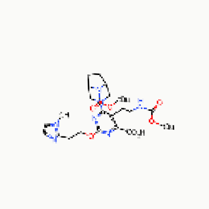 Cn1ccnc1CCOc1nc(C(=O)O)c(CCNC(=O)OC(C)(C)C)c(N2CC3CCC(C2)N3C(=O)OC(C)(C)C)n1